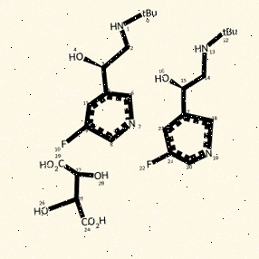 CC(C)(C)NC[C@H](O)c1cncc(F)c1.CC(C)(C)NC[C@H](O)c1cncc(F)c1.O=C(O)C(O)C(O)C(=O)O